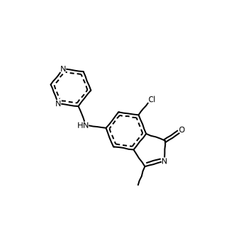 CC1=NC(=O)c2c(Cl)cc(Nc3ccncn3)cc21